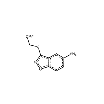 Bc1ccc2onc(OCOC)c2c1